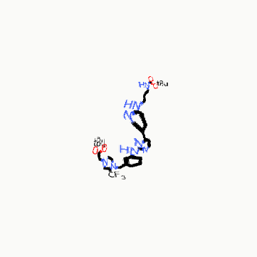 CC(C)(C)OC(=O)CN1CCN(Cc2cccc(Nc3nccc(-c4ccc(NCCCNC(=O)OC(C)(C)C)nc4)n3)c2)C(C(F)(F)F)C1